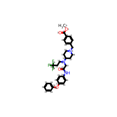 COC(=O)c1ccc(CN2CCC(N(CCC(F)(F)F)CC(=O)Nc3ccc(Oc4ccccc4)cc3)CC2)cc1